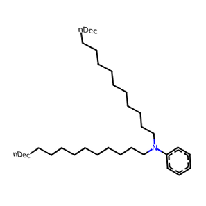 CCCCCCCCCCCCCCCCCCCCN(CCCCCCCCCCCCCCCCCCCC)c1ccccc1